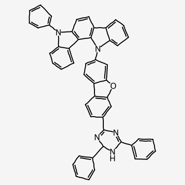 c1ccc(C2=NC(c3ccc4c(c3)oc3cc(-n5c6ccccc6c6ccc7c(c8ccccc8n7-c7ccccc7)c65)ccc34)=NC(c3ccccc3)N2)cc1